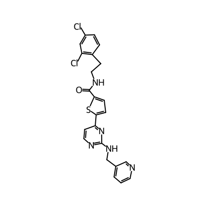 O=C(NCCc1ccc(Cl)cc1Cl)c1ccc(-c2ccnc(NCc3cccnc3)n2)s1